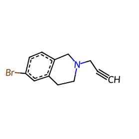 C#CCN1CCc2cc(Br)ccc2C1